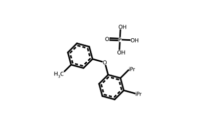 Cc1cccc(Oc2cccc(C(C)C)c2C(C)C)c1.O=P(O)(O)O